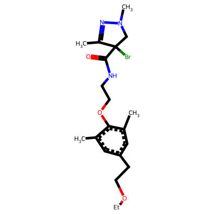 CCOCCc1cc(C)c(OCCNC(=O)C2(Br)CN(C)N=C2C)c(C)c1